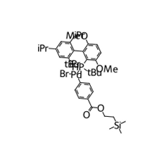 COc1ccc(OC)c([PH]([Pd]([Br])[c]2ccc(C(=O)OCC[Si](C)(C)C)cc2)(C(C)(C)C)C(C)(C)C)c1-c1c(C(C)C)cc(C(C)C)cc1C(C)C